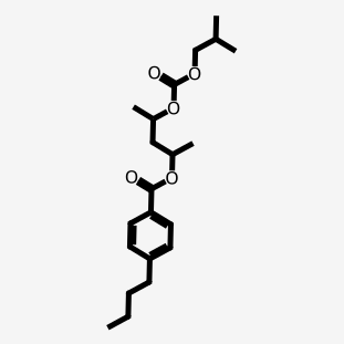 CCCCc1ccc(C(=O)OC(C)CC(C)OC(=O)OCC(C)C)cc1